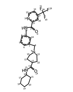 O=C(Nc1cccc(CN2CCC(C(=O)NC3CCCCC3)CC2)c1)c1cc(C(F)(F)F)ccn1